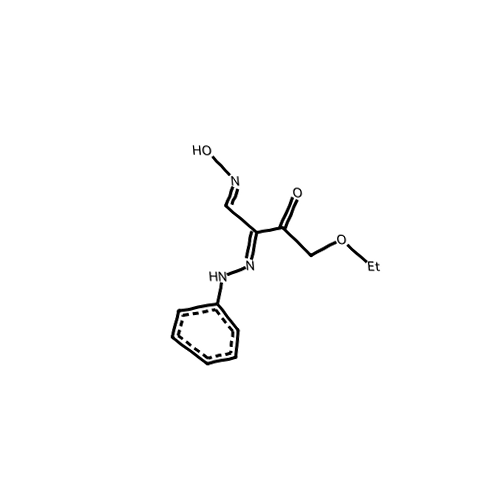 CCOCC(=O)C(/C=N/O)=N/Nc1ccccc1